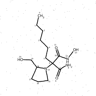 CCCCCCC(C(N)=O)(C(=O)NO)N1CCCC1CO